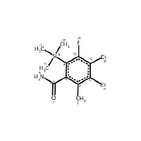 CCc1c(C)c(C(N)=O)c([Si](C)(C)C)c(F)c1CC